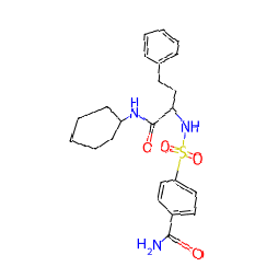 NC(=O)c1ccc(S(=O)(=O)NC(CCc2ccccc2)C(=O)NC2CCCCC2)cc1